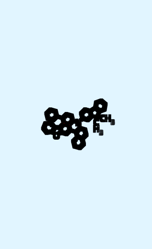 CC1(C)c2ccccc2-c2ccc(N(c3ccc(-c4ccccc4)cc3)c3ccc4ccccc4c3-c3ccc4c(c3)oc3ccccc34)cc21